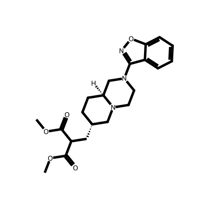 COC(=O)C(C[C@@H]1CC[C@H]2CN(c3noc4ccccc34)CCN2C1)C(=O)OC